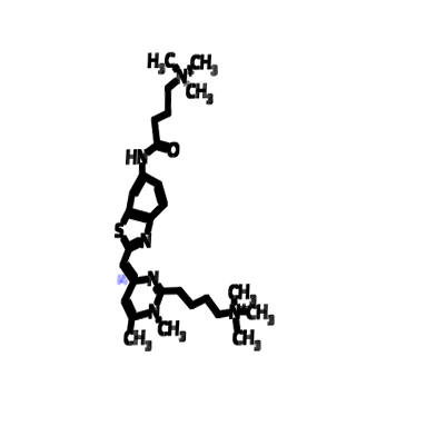 CC1=C/C(=C/c2nc3ccc(NC(=O)CCC[N+](C)(C)C)cc3s2)N=C(CCCC[N+](C)(C)C)N1C